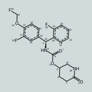 O=C1CCC(OC(=O)N[C@@H](c2ccc(OCF)c(F)c2)c2ncccc2F)CN1